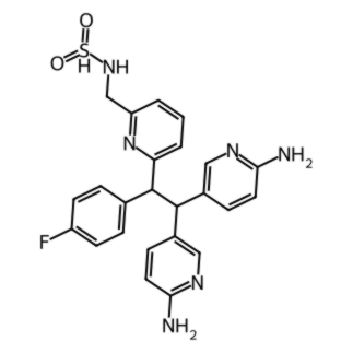 Nc1ccc(C(c2ccc(N)nc2)C(c2ccc(F)cc2)c2cccc(CN[SH](=O)=O)n2)cn1